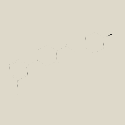 CCC[C@H]1CC[C@H](CCC2CCC(c3cccc(F)c3)CC2)CC1